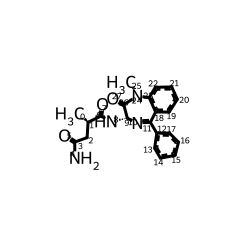 C[C@H](CC(N)=O)C(=O)N[C@H]1N=C(c2ccccc2)c2ccccc2N(C)C1=O